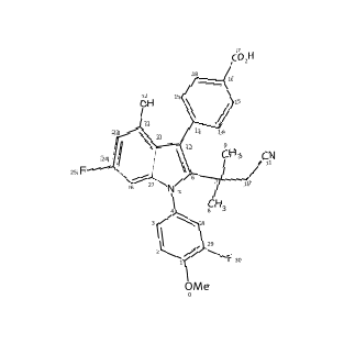 COc1ccc(-n2c(C(C)(C)CC#N)c(-c3ccc(C(=O)O)cc3)c3c(O)cc(F)cc32)cc1F